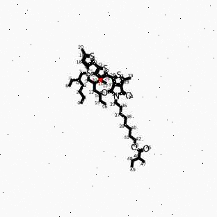 CCCCC(CC)C[Si]1(CC(CC)CCCC)c2cc(C)sc2-c2sc(-c3sc(C)c4c3C(=O)N(CCCCCCCCOC(=O)C(C)CC)C4=O)cc21